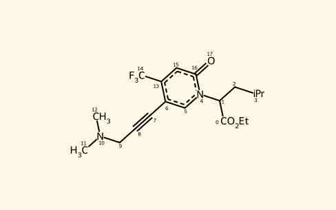 CCOC(=O)C(CC(C)C)n1cc(C#CCN(C)C)c(C(F)(F)F)cc1=O